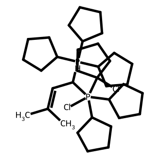 CC(C)=CC([PH](C1CCCC1)(C1CCCC1)C1CCCC1)P(Cl)(C1CCCC1)(C1CCCC1)C1(Cl)CCCC1